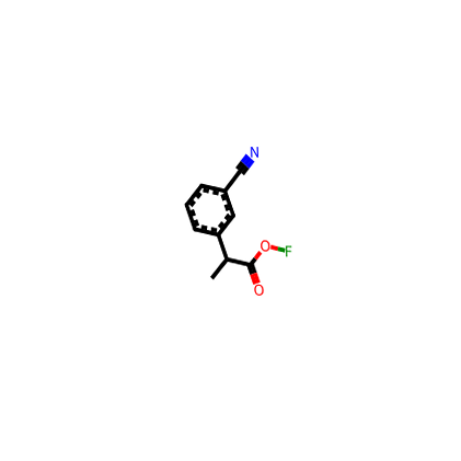 CC(C(=O)OF)c1cccc(C#N)c1